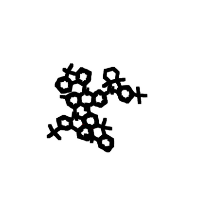 Cc1cc2c3c(c1)N(c1cccc4c1-c1ccccc1C4(C)C)c1cc(N4c5ccc(C(C)(C)C)cc5C5(C)CCCCC45C)ccc1B3c1cc3c(cc1N2c1ccc(C(C)(C)C)cc1-c1ccccc1)C(C)(C)c1ccccc1C3(C)C